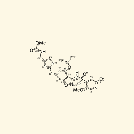 CCc1ccc(OC)c(S(=O)(=O)Nc2noc3cc(Cn4cc(CNC(=O)OC)cn4)cc(OC(F)F)c23)c1